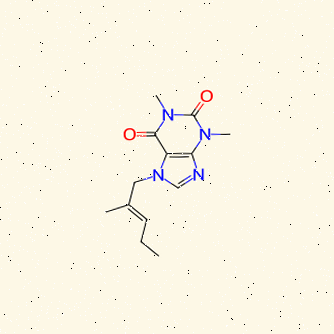 CCC=C(C)Cn1cnc2c1c(=O)n(C)c(=O)n2C